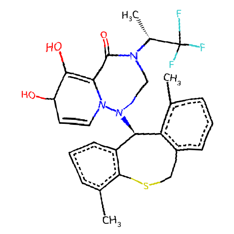 Cc1cccc2c1SCc1cccc(C)c1[C@@H]2N1CN([C@H](C)C(F)(F)F)C(=O)C2=C(O)C(O)C=CN21